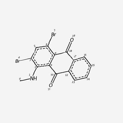 CNc1c(Br)cc(Br)c2c1C(=O)c1ccccc1C2=O